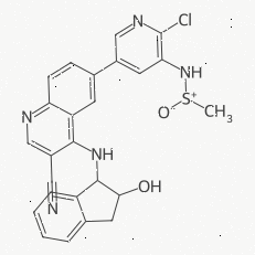 C[S+]([O-])Nc1cc(-c2ccc3ncc(C#N)c(NC4c5ccccc5CC4O)c3c2)cnc1Cl